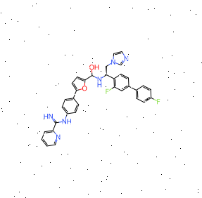 N=C(Nc1ccc(-c2ccc(C(O)N[C@@H](Cn3ccnc3)c3ccc(-c4ccc(F)cc4)cc3F)o2)cc1)c1ccccn1